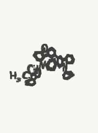 CC1(C)c2ccccc2-c2ccc(N(c3ccccc3)c3cccc4oc5ccc(-c6ccc7c(c6)c6ccccc6n7-c6ccccc6)cc5c34)cc21